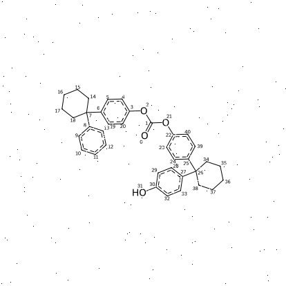 O=C(Oc1ccc(C2(c3ccccc3)CCCCC2)cc1)Oc1ccc(C2(c3ccc(O)cc3)CCCCC2)cc1